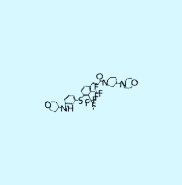 O=C(C=Cc1ccc(Sc2cccc(NC3CCOCC3)c2)c(C(F)(F)F)c1C(F)(F)F)N1CCC(N2CCOCC2)CC1